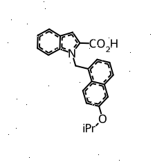 CC(C)Oc1ccc2c(Cn3c(C(=O)O)cc4ccccc43)cccc2c1